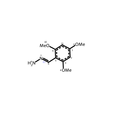 COc1cc(OC)c(/C=N/N)c(OC)c1